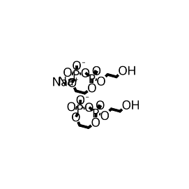 O=P1([O-])OCCOP(=O)(OCCO)O1.O=P1([O-])OCCOP(=O)(OCCO)O1.[Na+].[Na+]